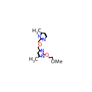 COCCOc1nc(C)cc(COCc2nccc(C)n2)n1